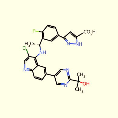 C[C@@H](Nc1c(Cl)cnc2ccc(-c3cnc(C(C)(C)O)nc3)cc12)c1cc(-c2cc(C(=O)O)[nH]n2)ccc1F